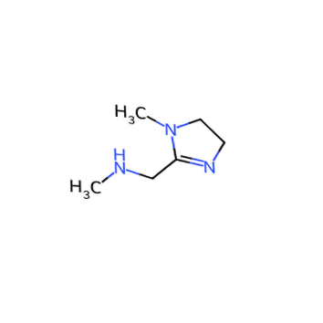 CNCC1=NCCN1C